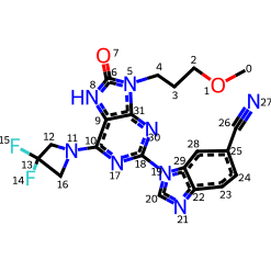 COCCCn1c(=O)[nH]c2c(N3CC(F)(F)C3)nc(-n3cnc4ccc(C#N)cc43)nc21